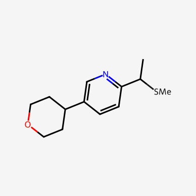 CSC(C)c1ccc(C2CCOCC2)cn1